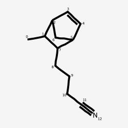 CC1C2C=CC(C2)C1CCCC#N